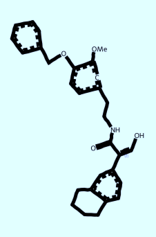 COc1cc(CCNC(=O)/C(=C\O)c2ccc3c(c2)CCCC3)ccc1OCc1ccccc1